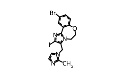 Cc1nccn1Cc1c(I)nc2n1CCOc1ccc(Br)cc1-2